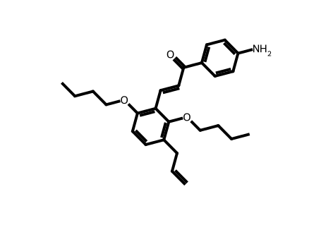 C=CCc1ccc(OCCCC)c(C=CC(=O)c2ccc(N)cc2)c1OCCCC